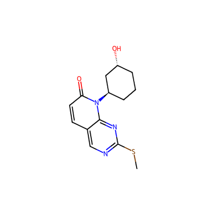 CSc1ncc2ccc(=O)n([C@@H]3CCC[C@@H](O)C3)c2n1